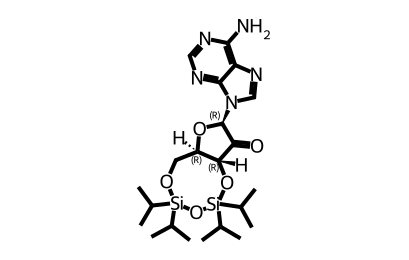 CC(C)[Si]1(C(C)C)OC[C@H]2O[C@@H](n3cnc4c(N)ncnc43)C(=O)[C@@H]2O[Si](C(C)C)(C(C)C)O1